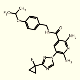 CC(Oc1ccc(CNC(=O)c2cc(-n3cnc(C4(F)CC4)n3)c(N)nc2N)cc1)C(F)(F)F